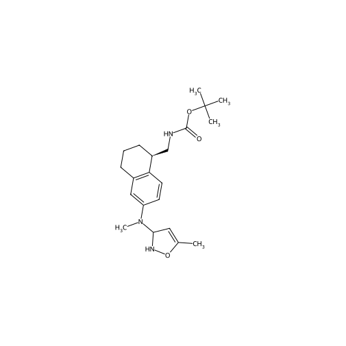 CC1=CC(N(C)c2ccc3c(c2)CCC[C@H]3CNC(=O)OC(C)(C)C)NO1